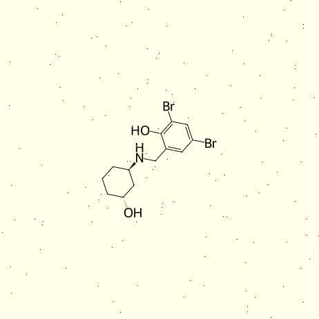 Oc1c(Br)cc(Br)cc1CN[C@@H]1CCC[C@@H](O)C1